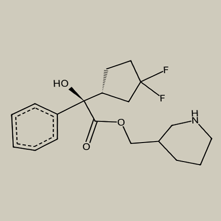 O=C(OCC1CCCNC1)[C@](O)(c1ccccc1)[C@@H]1CCC(F)(F)C1